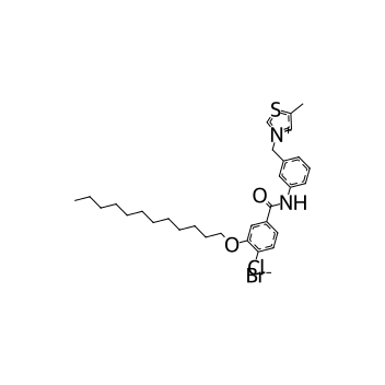 CCCCCCCCCCCCOc1cc(C(=O)Nc2cccc(C[n+]3csc(C)c3)c2)ccc1Cl.[Br-]